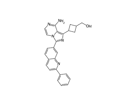 Nc1nccn2c(-c3ccc4ccc(-c5ccccc5)nc4c3)nc(C3CC(CO)C3)c12